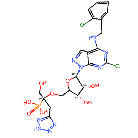 O=P(O)(O)[C@@](CO)(Cc1nn[nH]n1)OCC1O[C@@H](n2ncc3c(NCc4ccccc4Cl)nc(Cl)nc32)[C@H](O)[C@@H]1O